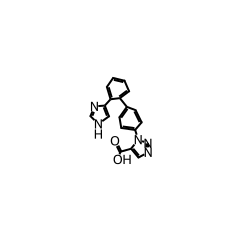 O=C(O)c1cnnn1-c1ccc(-c2ccccc2-c2c[nH]cn2)cc1